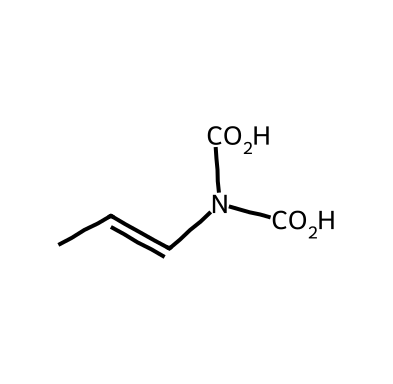 CC=CN(C(=O)O)C(=O)O